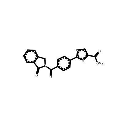 COC(=O)c1c[nH]c(-c2ccc(C(=O)N3Cc4ccccc4C3=O)cc2)n1